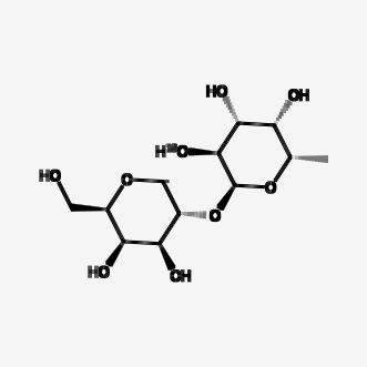 C[C@@H]1O[C@@H](O[C@H]2[CH]O[C@H](CO)[C@H](O)[C@@H]2O)[C@@H]([18OH])[C@H](O)[C@@H]1O